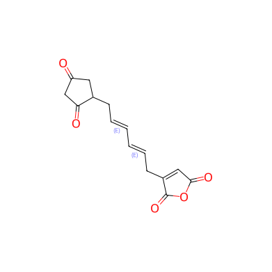 O=C1CC(=O)C(C/C=C/C=C/CC2=CC(=O)OC2=O)C1